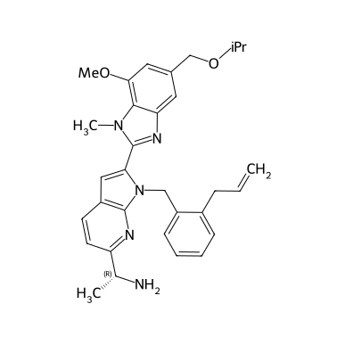 C=CCc1ccccc1Cn1c(-c2nc3cc(COC(C)C)cc(OC)c3n2C)cc2ccc([C@@H](C)N)nc21